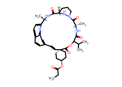 CCC(=O)O[C@H]1CC[C@@]2(/C=C/c3ccc4ccc(nc4c3)[C@@H](C)NC(=O)[C@@H]3CCCN(N3)C(=O)[C@H](C)NC(=O)C(C(C)C)OC2=O)CC1